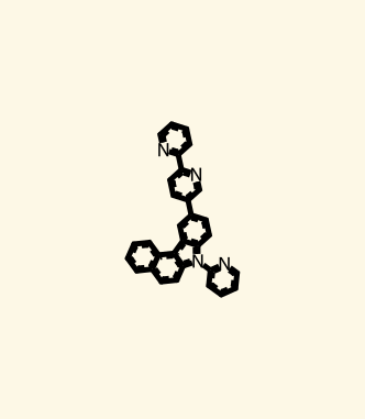 c1ccc(-c2ccc(-c3ccc4c(c3)c3c5ccccc5ccc3n4-c3ccccn3)cn2)nc1